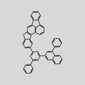 c1ccc(-c2nc(-c3cc(-c4ccccc4)c4ccccc4c3)nc(-c3ccc4oc5cc6c7c(cccc7c5c4c3)-c3ccccc3-6)n2)cc1